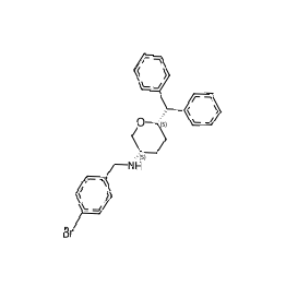 Brc1ccc(CN[C@H]2CC[C@@H](C(c3ccccc3)c3ccccc3)OC2)cc1